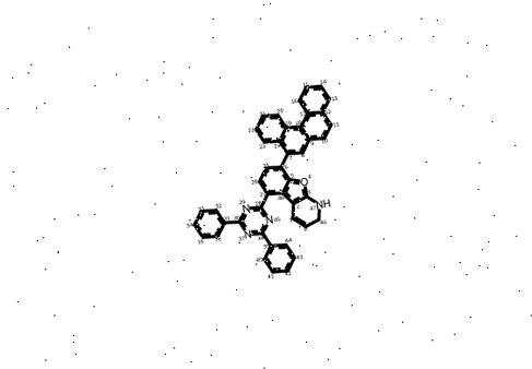 C1=Cc2c(oc3c(-c4cc5ccc6ccccc6c5c5ccccc45)ccc(-c4nc(-c5ccccc5)nc(-c5ccccc5)n4)c23)NC1